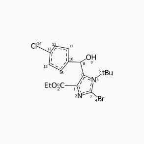 CCOC(=O)c1nc(Br)n(C(C)(C)C)c1C(O)c1ccc(Cl)cc1